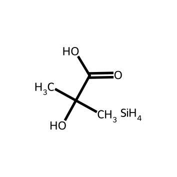 CC(C)(O)C(=O)O.[SiH4]